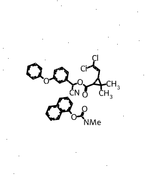 CC1(C)C(C=C(Cl)Cl)C1C(=O)OC(C#N)c1cccc(Oc2ccccc2)c1.CNC(=O)Oc1cccc2ccccc12